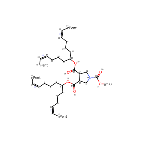 CCCCC/C=C\CCCC(CCC/C=C\CCCCC)OC(=O)C1CN(C(=O)OC(C)(C)C)CC1C(=O)OC(CCC/C=C\CCCCC)CCC/C=C\CCCCC